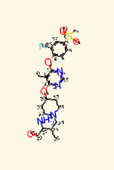 Cc1c(Oc2ccc(S(C)(=O)=O)cc2F)ncnc1OC1CCN(CC(C)C(N)C=O)CC1